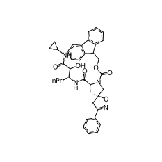 CCC[C@H](NC(=O)[C@@H]1C[C@]2(CC(c3ccccc3)=NO2)CN1C(=O)OCC1c2ccccc2-c2ccccc21)C(O)C(=O)NC1CC1